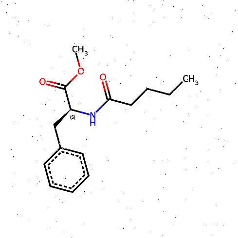 CCCCC(=O)N[C@@H](Cc1ccccc1)C(=O)OC